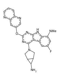 CNc1cc(F)cc2c1[nH]c1nc(Oc3cnc4cccnc4c3)nc(N3CC4C(N)C4C3)c12